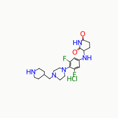 Cl.O=C1CCC(Nc2cc(F)c(N3CCN(CC4CCNCC4)CC3)c(F)c2)C(=O)N1